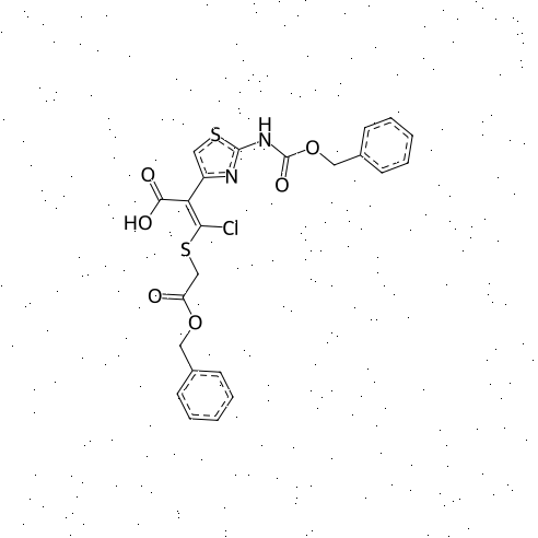 O=C(CSC(Cl)=C(C(=O)O)c1csc(NC(=O)OCc2ccccc2)n1)OCc1ccccc1